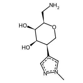 Cn1cc([C@@H]2CO[C@H](CN)[C@H](O)[C@@H]2O)cn1